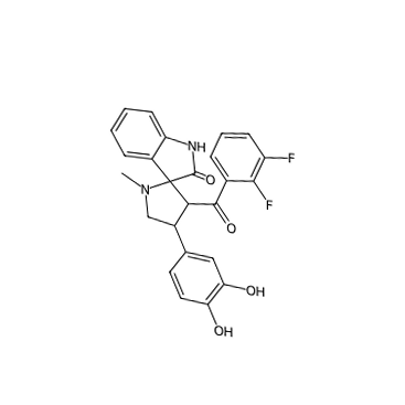 CN1CC(c2ccc(O)c(O)c2)C(C(=O)c2cccc(F)c2F)C12C(=O)Nc1ccccc12